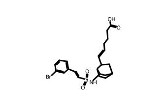 O=C(O)CCCC=CC1CC2CCC1C(NS(=O)(=O)C=Cc1cccc(Br)c1)C2